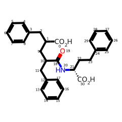 O=C(O)C(Cc1ccccc1)CC(Cc1ccccc1)C(=O)N[C@H](CCc1ccccc1)C(=O)O